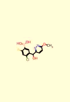 COc1ccc(C(O)c2cc(B(O)O)c(F)cc2Cl)nn1